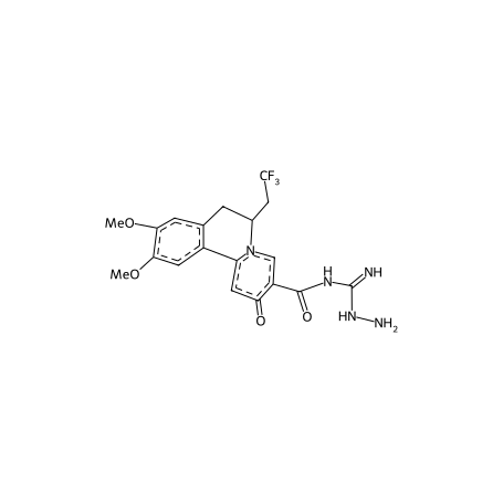 COc1cc2c(cc1OC)-c1cc(=O)c(C(=O)NC(=N)NN)cn1C(CC(F)(F)F)C2